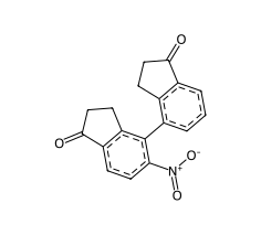 O=C1CCc2c1cccc2-c1c([N+](=O)[O-])ccc2c1CCC2=O